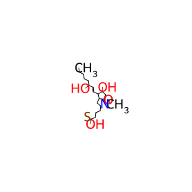 CCCCCC(O)C=CC1C(O)CC2(OC)N=C(CCCC(O)=S)CC12